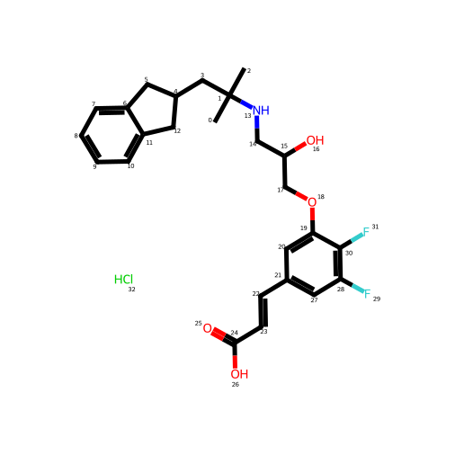 CC(C)(CC1Cc2ccccc2C1)NCC(O)COc1cc(/C=C/C(=O)O)cc(F)c1F.Cl